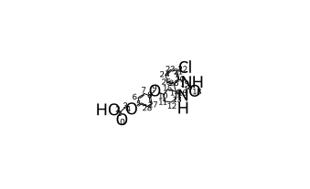 O=C(O)COc1ccc(OC2CCCC3(C2)NC(=O)Nc2c(Cl)cccc23)cc1